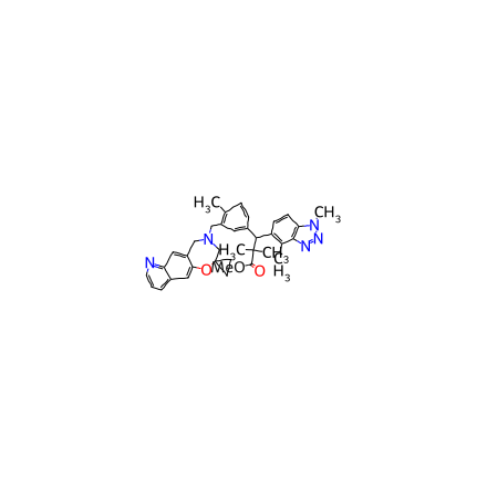 COC(=O)C(C)(C)C(c1ccc(C)c(CN2Cc3cc4ncccc4cc3OC3(CC3)C2)c1)c1ccc2c(nnn2C)c1C